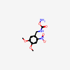 COc1cc(CNC(=O)ON)c([N+](=O)[O-])cc1OC